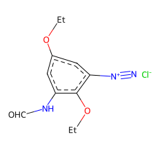 CCOc1cc([N+]#N)c(OCC)c(NC=O)c1.[Cl-]